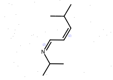 CC(C)/C=C\C=N/C(C)C